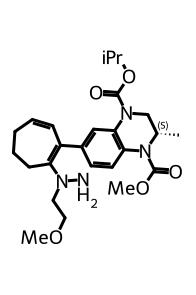 COCCN(N)C1=C(c2ccc3c(c2)N(C(=O)OC(C)C)C[C@H](C)N3C(=O)OC)C=CCCC1